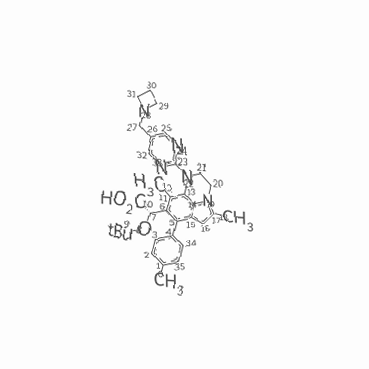 Cc1ccc(-c2c([C@H](OC(C)(C)C)C(=O)O)c(C)c3c4c2cc(C)n4CCN3c2ncc(CN3CCC3)cn2)cc1